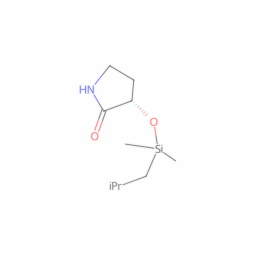 CC(C)C[Si](C)(C)O[C@H]1CCNC1=O